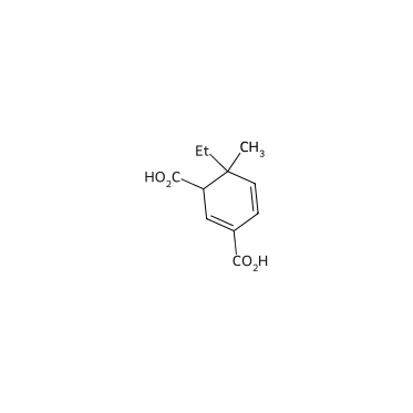 CCC1(C)C=CC(C(=O)O)=CC1C(=O)O